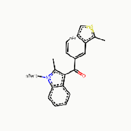 CCC/C=C\C(=C/c1ccsc1C)C(=O)c1c(C)n(CCCCC)c2ccccc12